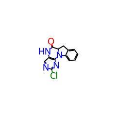 O=C1Nc2cnc(Cl)nc2N2c3ccccc3CC12